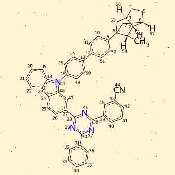 C[C@H]1[C@@H]2[C@@H]3CC[C@H]2CC1(c1ccc(-c2ccc(-n4c5ccccc5c5ccc(-c6nc(-c7ccccc7)nc(-c7cccc(C#N)c7)n6)cc54)cc2)cc1)C3